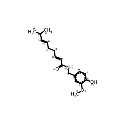 COc1cc(CNC(=O)/C=C/CC/C=C/C(C)C)ccc1O